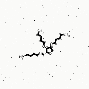 CCCCCOC[C@H]1O[CH][C@H](OCCCCC)[C@@H]1OCCCCC